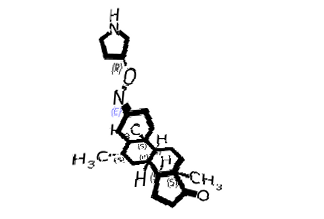 C[C@H]1C[C@@H]2[C@H](CC[C@]3(C)C(=O)CC[C@@H]23)[C@@]2(C)CC/C(=N\O[C@@H]3CCNC3)CC12